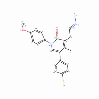 CC/N=C/Cc1c(C)c(-c2ccc(F)cc2)cn(-c2ccc(OC(F)(F)F)cc2)c1=O